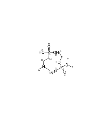 CCOP(=O)(C#N)N(C)C.CN(C)CCP(=O)(O)O